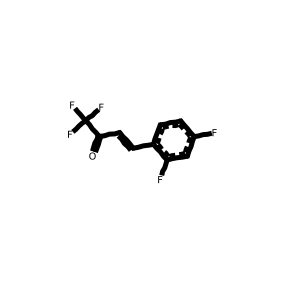 O=C(/C=C/c1ccc(F)cc1F)C(F)(F)F